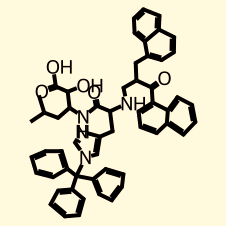 CC(C)CC(NC(=O)C(Cc1cn(C(c2ccccc2)(c2ccccc2)c2ccccc2)cn1)NCC(Cc1cccc2ccccc12)C(=O)c1cccc2ccccc12)C(O)C(=O)O